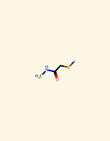 CNC(=O)CSI